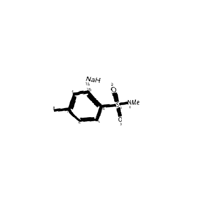 CNS(=O)(=O)c1ccc(C)cc1.[NaH]